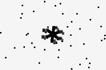 [NH2][V]([NH2])([NH2])([NH2])([NH2])[NH2]